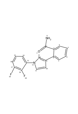 NC(=O)c1ccccc1-c1ccn(-c2cccc(F)c2F)n1